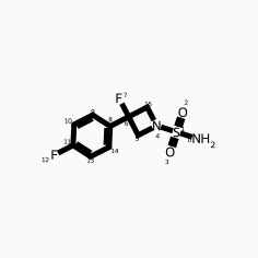 NS(=O)(=O)N1CC(F)(c2ccc(F)cc2)C1